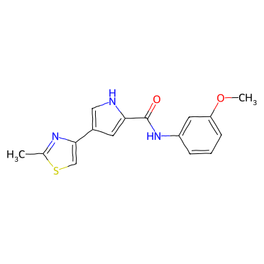 COc1cccc(NC(=O)c2cc(-c3csc(C)n3)c[nH]2)c1